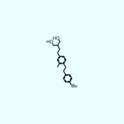 CCC(C)c1ccc(CCc2ccc(CCC(CO)CO)cc2C)cc1